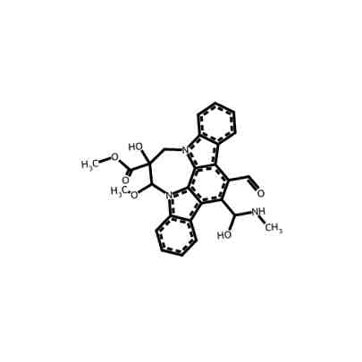 CNC(O)c1c(C=O)c2c3ccccc3n3c2c2c1c1ccccc1n2C(OC)C(O)(C(=O)OC)C3